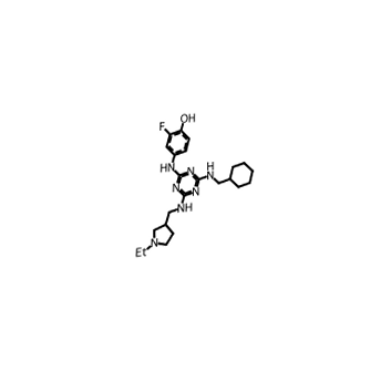 CCN1CCC(CNc2nc(NCC3CCCCC3)nc(Nc3ccc(O)c(F)c3)n2)C1